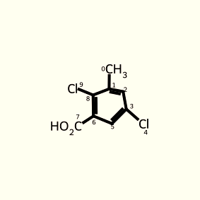 Cc1cc(Cl)cc(C(=O)O)c1Cl